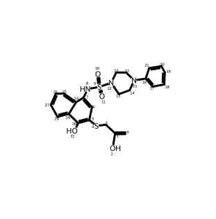 C=C(O)CSc1cc(NS(=O)(=O)N2CCN(c3ccccc3)CC2)c2ccccc2c1O